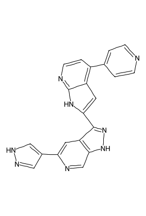 c1cc(-c2ccnc3[nH]c(-c4n[nH]c5cnc(-c6cn[nH]c6)cc45)cc23)ccn1